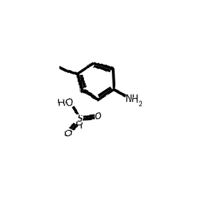 Cc1ccc(N)cc1.O=[SH](=O)O